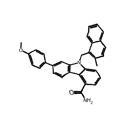 COc1ccc(-c2c[c]c3c4c(C(N)=O)cccc4n(Cc4c(C)ccc5ccccc45)c3c2)cc1